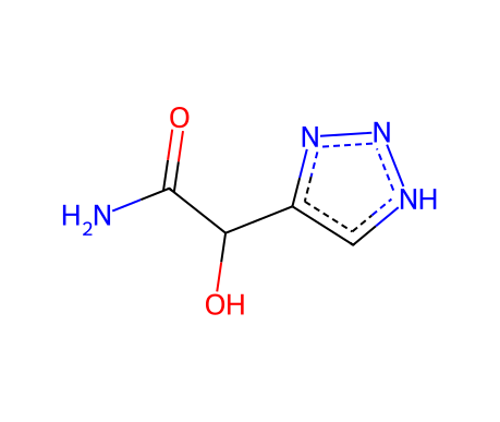 NC(=O)C(O)c1c[nH]nn1